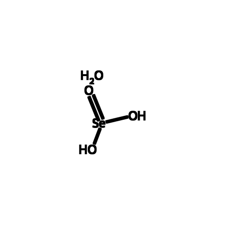 O.O=[Se](O)O